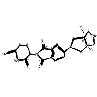 O=C1CCC(N2C(=O)c3ccc(N4C[C@H]5CNC[C@H]5C4)cc3C2=O)C(=O)N1